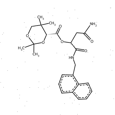 CC1(C)OCC(C)(C)[C@H](C(=O)OC(CC(N)=O)C(=O)NCc2cccc3ccccc23)O1